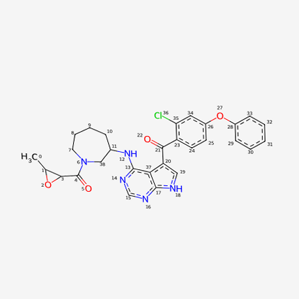 CC1OC1C(=O)N1CCCCC(Nc2ncnc3[nH]cc(C(=O)c4ccc(Oc5ccccc5)cc4Cl)c23)C1